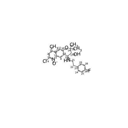 Cc1cc(Cl)[n+]([O-])c2cc3c(cc12)OC(C)(C)[C@H](O)[C@H]3NCCc1ccc(F)cc1